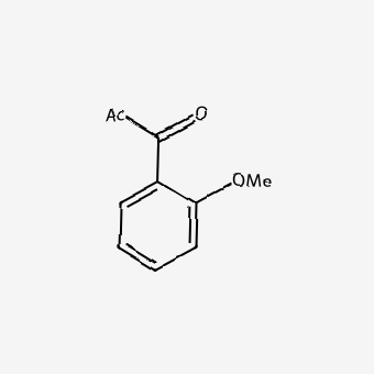 COc1ccccc1C(=O)C(C)=O